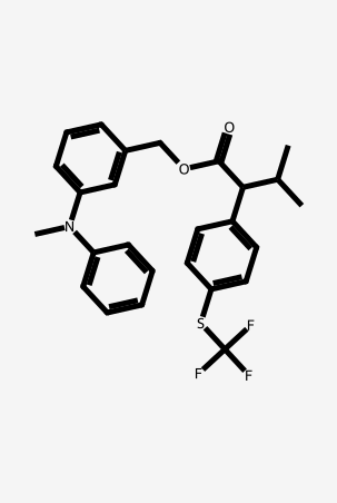 CC(C)C(C(=O)OCc1cccc(N(C)c2ccccc2)c1)c1ccc(SC(F)(F)F)cc1